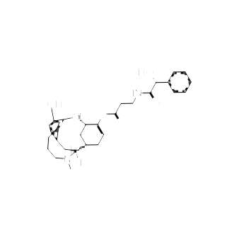 CN1CCCc2c3ccc(O)c2O[C@@H]2C[C@@](O)(CC=C2OC(=O)CCNC(=O)[C@@H](O)c2ccccc2)[C@H]1C3